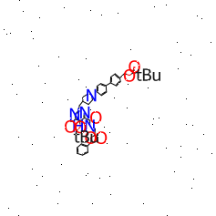 Cc1nc(CC2CCN(c3ccc(-c4ccc(COC(=O)C(C)(C)C)cc4)cc3)CC2)nc(C(=O)NCC(=O)OCc2ccccc2)c1OC(=O)C(C)(C)C